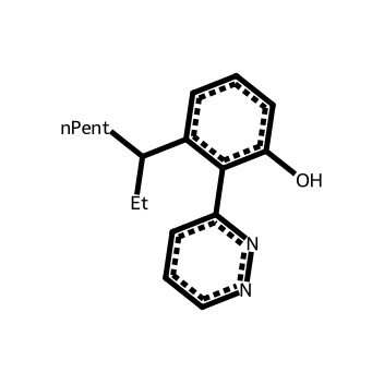 CCCCCC(CC)c1cccc(O)c1-c1cccnn1